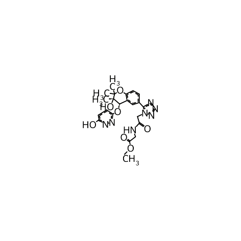 CCOC(=O)CNC(=O)Cn1nnnc1-c1ccc2c(c1)[C@@H](Oc1ccc(O)nn1)[C@](C)(O)C(C)(C)O2